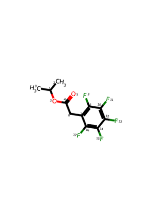 CC(C)OC(=O)Cc1c(F)c(F)c(F)c(F)c1F